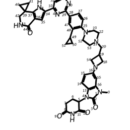 Cn1c(=O)n(C2CCC(=O)NC2=O)c2ccc(N3CC(CN4CCN(c5ccc(-c6nccc(-c7cc8c([nH]7)C7(CC7)CNC8=O)n6)cc5C5CC5)CC4)C3)cc21